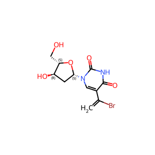 C=C(Br)c1cn([C@@H]2C[C@@H](O)[C@H](CO)O2)c(=O)[nH]c1=O